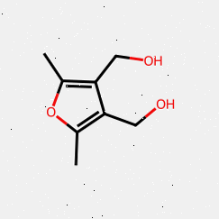 Cc1oc(C)c(CO)c1CO